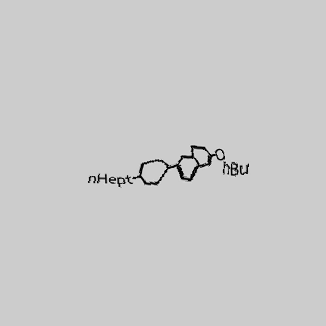 CCCCCCCC1CCC(c2ccc3cc(OCCCC)ccc3c2)CC1